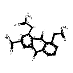 CC(=O)Cc1cccc2c1C(=O)c1c(CC(C)=O)cc(C(=O)O)cc1C2=O